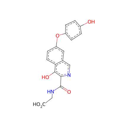 O=C(O)CNC(=O)c1ncc2cc(Oc3ccc(O)cc3)ccc2c1O